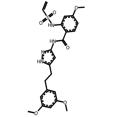 C=CS(=O)(=O)Nc1cc(OC)ccc1C(=O)Nc1cc(CCc2cc(OC)cc(OC)c2)[nH]n1